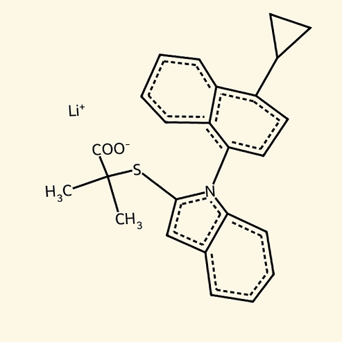 CC(C)(Sc1cc2ccccc2n1-c1ccc(C2CC2)c2ccccc12)C(=O)[O-].[Li+]